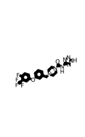 O=C(Nc1nn[nH]n1)N1CCN(Cc2cccc(Oc3ccc(F)c(C(F)(F)F)c3)c2)CC1